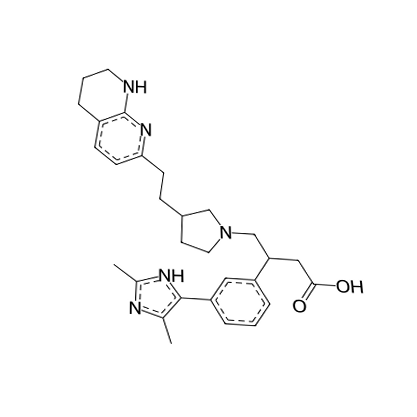 Cc1nc(C)c(-c2cccc(C(CC(=O)O)CN3CCC(CCc4ccc5c(n4)NCCC5)C3)c2)[nH]1